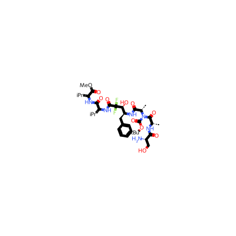 COC(=O)C(NC(=O)C(NC(=O)C(F)(F)[C@H](O)[C@H](Cc1ccccc1)NC(=O)[C@H](C)N(C(=O)OC(C)(C)C)C(=O)[C@H](C)NC(=O)[C@@H](N)CO)C(C)C)C(C)C